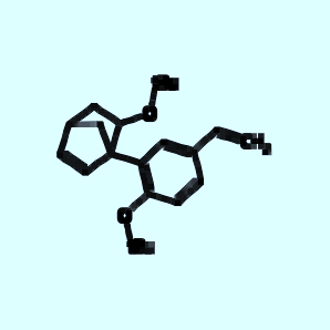 C=Cc1ccc(OC(C)(C)C)c(C23C=CC(CC2OC(C)(C)C)C3)c1